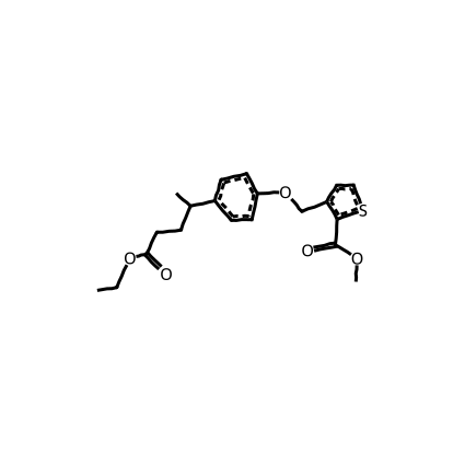 CCOC(=O)CCC(C)c1ccc(OCc2ccsc2C(=O)OC)cc1